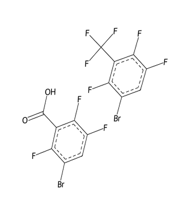 Fc1cc(Br)c(F)c(C(F)(F)F)c1F.O=C(O)c1c(F)c(F)cc(Br)c1F